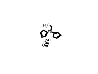 C[CH2][Fe]([C]1=CC=CC1)[C]1=CC=CC1.[C]=O.[C]=O.[C]=O